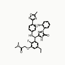 CCc1cc(OCC(=O)N(C)C)c(F)c(C(Nc2ccc(-c3noc(C)n3)cc2)c2nn(-c3ccccc3N)c(=O)[nH]2)c1